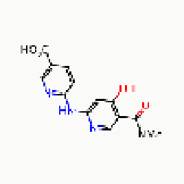 CNC(=O)c1cnc(Nc2ccc(C(=O)O)cn2)cc1O